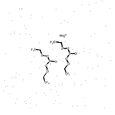 [Mg+2].[O-]B(OOCC(F)(F)F)OOCC(F)(F)F.[O-]B(OOCC(F)(F)F)OOCC(F)(F)F